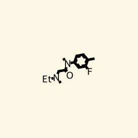 CCN(C)CC(=O)N(C)c1ccc(C)c(F)c1